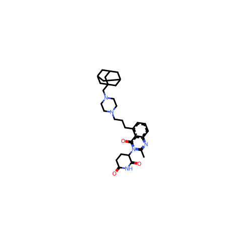 Cc1nc2cccc(CCCN3CCN(CC45CC6CC(CC(C6)C4)C5)CC3)c2c(=O)n1C1CCC(=O)NC1=O